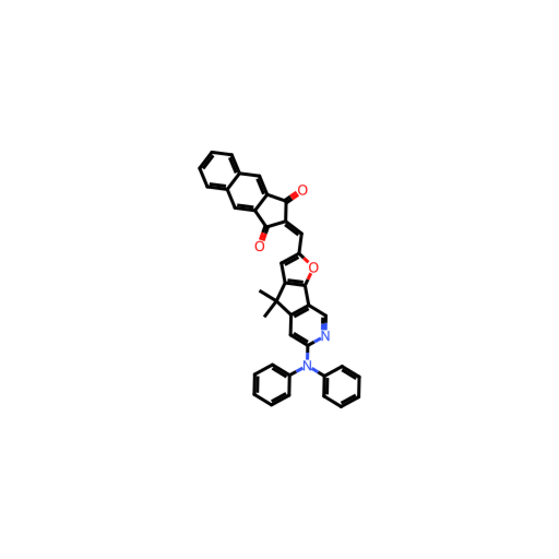 CC1(C)c2cc(N(c3ccccc3)c3ccccc3)ncc2-c2oc(C=C3C(=O)c4cc5ccccc5cc4C3=O)cc21